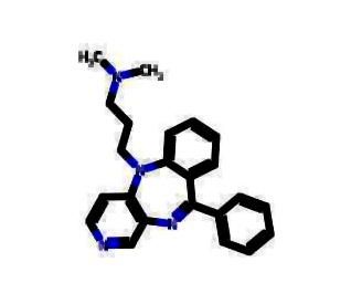 CN(C)CCCN1c2ccncc2N=C(c2ccccc2)c2ccccc21